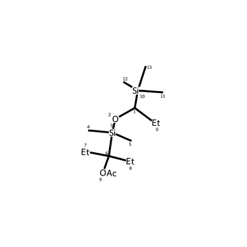 CCC(O[Si](C)(C)C(CC)(CC)OC(C)=O)[Si](C)(C)C